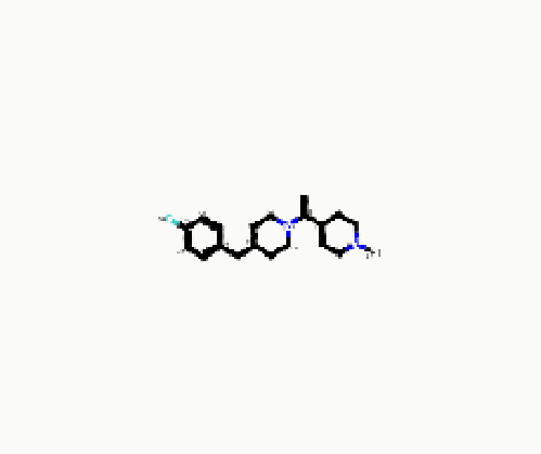 C=C(C1CCN(CC)CC1)N1CCC(Cc2ccc(F)cc2)CC1